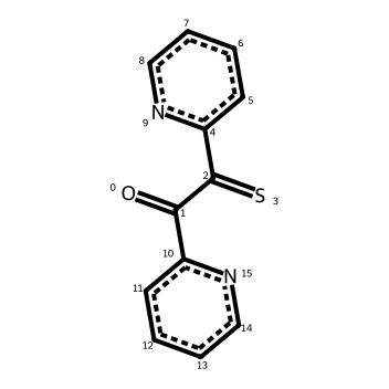 O=C(C(=S)c1ccccn1)c1ccccn1